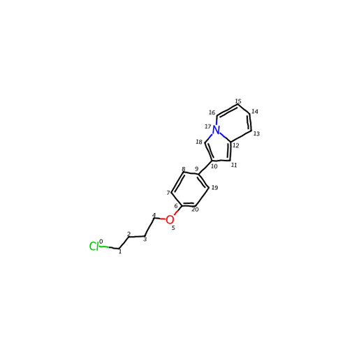 ClCCCCOc1ccc(-c2cc3ccccn3c2)cc1